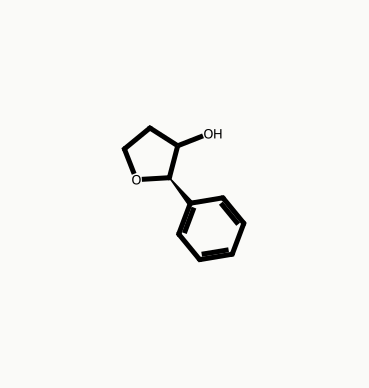 OC1CCO[C@@H]1c1ccccc1